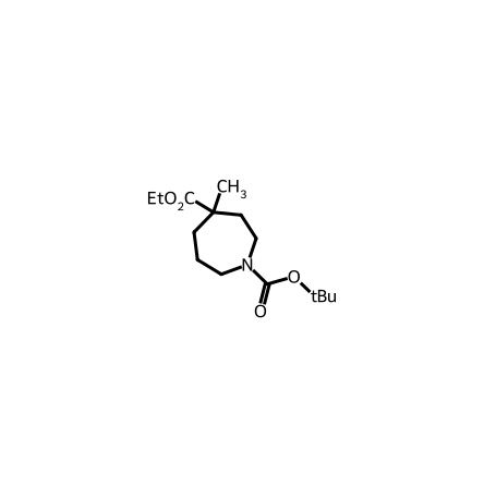 CCOC(=O)C1(C)CCCN(C(=O)OC(C)(C)C)CC1